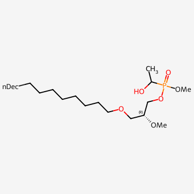 CCCCCCCCCCCCCCCCCCOC[C@H](COP(=O)(OC)C(C)O)OC